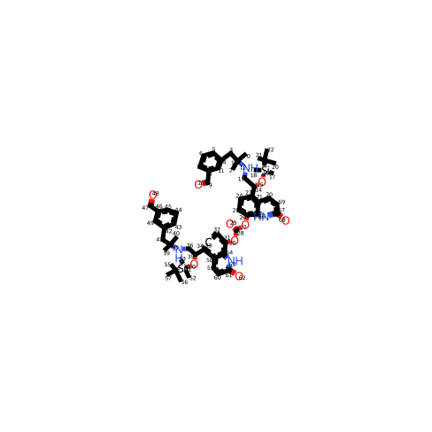 CC(C)(Cc1cccc(C=O)c1)NCC(O[Si](C)(C)C(C)(C)C)c1ccc(OC(=O)Oc2ccc(C(CNC(C)(C)Cc3cccc(C=O)c3)O[Si](C)(C)C(C)(C)C)c3ccc(=O)[nH]c23)c2[nH]c(=O)ccc12